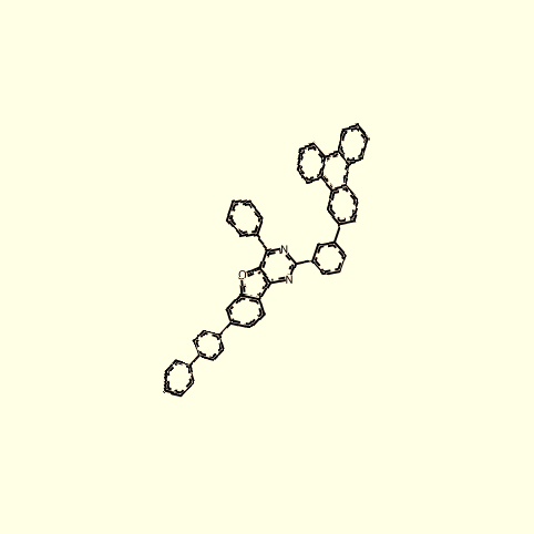 c1ccc(-c2ccc(-c3ccc4c(c3)oc3c(-c5ccccc5)nc(-c5cccc(-c6ccc7c8ccccc8c8ccccc8c7c6)c5)nc34)cc2)cc1